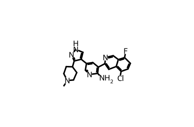 CN1CCC(c2n[nH]cc2-c2cnc(N)c(-c3cc4c(Cl)ccc(F)c4cn3)c2)CC1